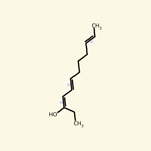 C/C=C/CCC/C=C/C=C(/O)CC